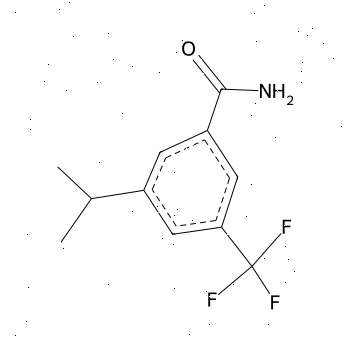 CC(C)c1cc(C(N)=O)cc(C(F)(F)F)c1